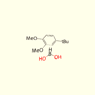 COc1ccc(C(C)(C)C)cc1OC.OBO